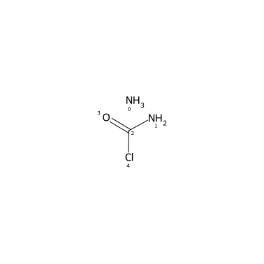 N.NC(=O)Cl